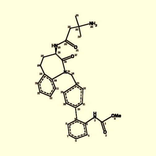 COC(=O)Nc1ccccc1-c1ccc(CN2C(=O)[C@H](NC(=O)CC(C)(C)N)CCc3ccccc32)cc1